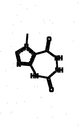 Cn1cnc2c1C(=O)NNC(=O)N2